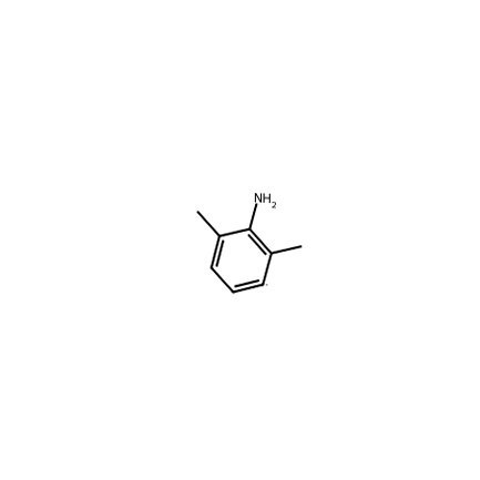 Cc1[c]ccc(C)c1N